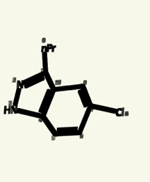 CCCc1n[nH]c2ccc(Cl)cc12